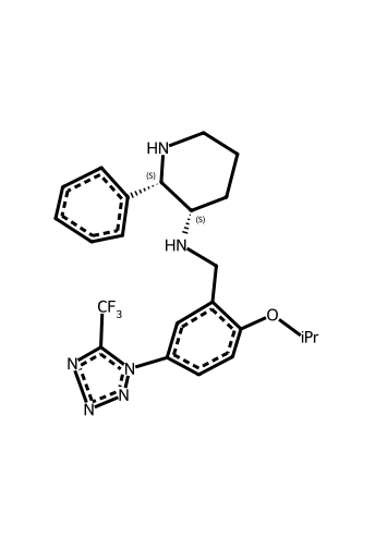 CC(C)Oc1ccc(-n2nnnc2C(F)(F)F)cc1CN[C@H]1CCCN[C@H]1c1ccccc1